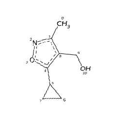 Cc1noc(C2CC2)c1CO